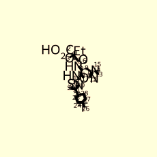 CCC1(C(=O)O)OC1C(=O)N[C@@H](Cc1cncn1C)C(=O)Nc1nc(-c2ccc(F)cc2)cs1